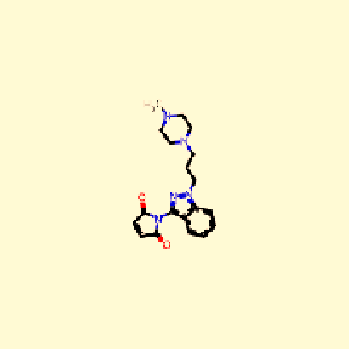 CN1CCN(CCCn2nc(N3C(=O)C=CC3=O)c3ccccc32)CC1